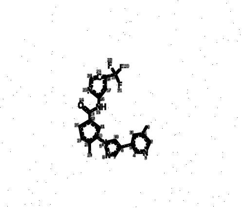 Cc1cncc(-c2cnn(-c3cc(C(=O)Nc4cc(C(F)(F)F)ccn4)ccc3C)c2)c1